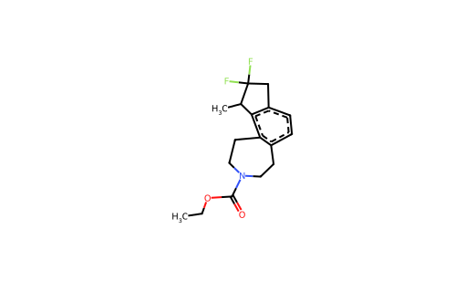 CCOC(=O)N1CCc2ccc3c(c2CC1)C(C)C(F)(F)C3